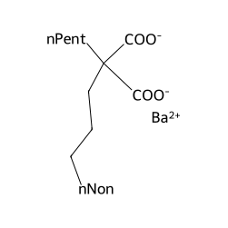 CCCCCCCCCCCCC(CCCCC)(C(=O)[O-])C(=O)[O-].[Ba+2]